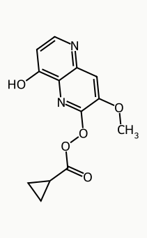 COc1cc2nccc(O)c2nc1OOC(=O)C1CC1